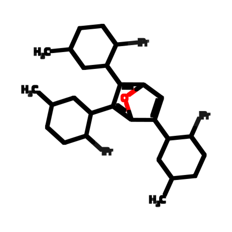 CC1CCC(C(C)C)C(c2c(C3CC(C)CCC3C(C)C)c3oc2cc3C2CC(C)CCC2C(C)C)C1